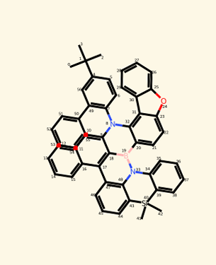 CC(C)(C)c1ccc(N2c3cc4ccccc4c4c3B(c3ccc5oc6ccccc6c5c32)N2c3ccccc3[Si](C)(C)c3cccc-4c32)c(-c2ccccc2)c1